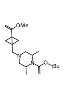 C=C(OC(C)(C)C)N1C(C)CN(CC23CC2(C(=C)OC)C3)CC1C